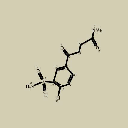 CNC(=O)CCC(=O)c1ccc(Cl)c(S(N)(=O)=O)c1